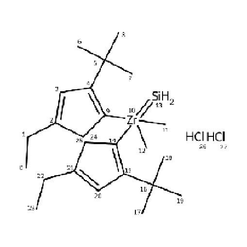 CCC1=CC(C(C)(C)C)=[C]([Zr]([CH3])([CH3])(=[SiH2])[C]2=C(C(C)(C)C)C=C(CC)C2)C1.Cl.Cl